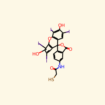 O=C(CS)Nc1ccc2c(c1)C(=O)OC21c2cc(I)c(O)c(I)c2Oc2c1cc(I)c(O)c2I